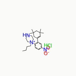 CCCC[N+]1(c2ccc([N+](=O)[O-])cc2C2=CC(C)(C)CC(C)(C)C2)CCNCC1.Cl